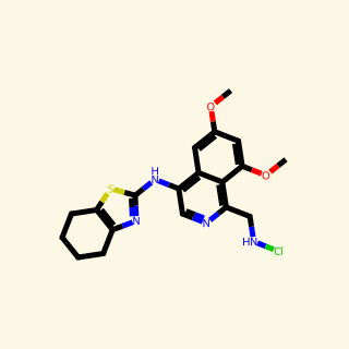 COc1cc(OC)c2c(CNCl)ncc(Nc3nc4c(s3)CCCC4)c2c1